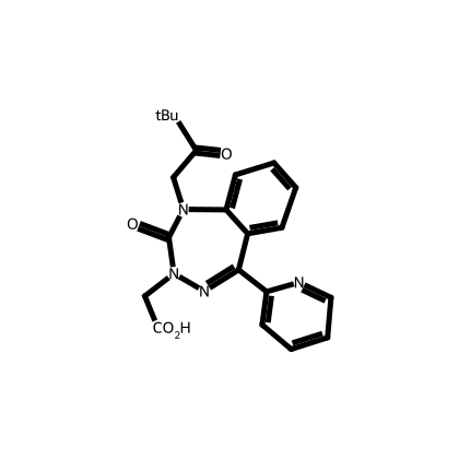 CC(C)(C)C(=O)CN1C(=O)N(CC(=O)O)N=C(c2ccccn2)c2ccccc21